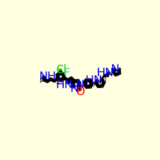 C[C@H](N)CCCc1cc(Cl)c(F)c(-c2cc3cn(-c4ccc([C@H]5CCC[C@H](CCNC6=NCCC6)N5)cc4)c(=O)nc3[nH]2)c1